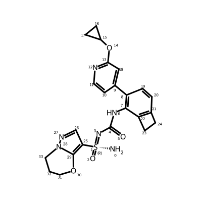 N[S@@](=O)(=NC(=O)Nc1c(-c2ccnc(OC3CC3)c2)ccc2c1CC2)c1cnn2c1OCCC2